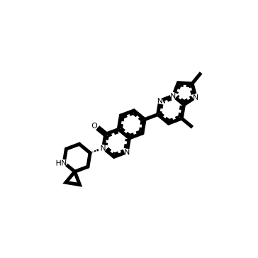 Cc1cn2nc(-c3ccc4c(=O)n([C@H]5CCNC6(CC6)C5)cnc4c3)cc(C)c2n1